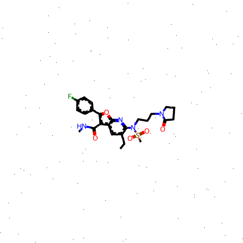 CCc1cc2c(C(=O)NC)c(-c3ccc(F)cc3)oc2nc1N(CCCN1CCCC1=O)S(C)(=O)=O